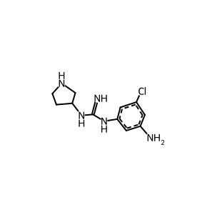 N=C(Nc1cc(N)cc(Cl)c1)NC1CCNC1